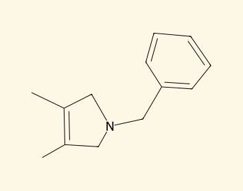 CC1=C(C)CN(Cc2ccccc2)C1